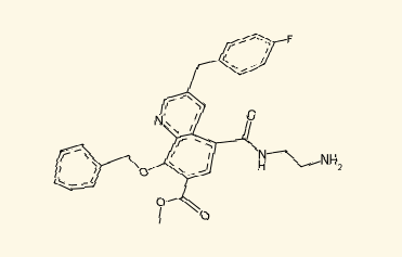 COC(=O)c1cc(C(=O)NCCN)c2cc(Cc3ccc(F)cc3)cnc2c1OCc1ccccc1